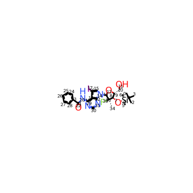 CC(C)(C)[Si](C)(C)O[C@@H]1[C@@H](CO)OC(n2cc(I)c3c(NC(=O)c4ccccc4)ncnc32)[C@]1(C)F